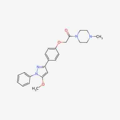 COc1cc(-c2ccc(OCC(=O)N3CCN(C)CC3)cc2)nn1-c1ccccc1